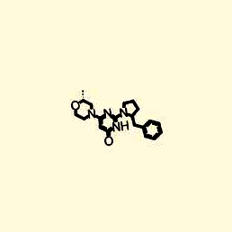 C[C@@H]1CN(c2cc(=O)[nH]c(N3CCCC3Cc3ccccc3)n2)CCO1